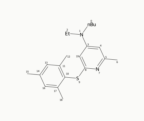 CCCCN(CC)c1cc(C)nc(Sc2c(C)cc(C)cc2C)c1